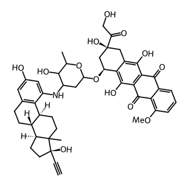 C#C[C@]1(O)CC[C@H]2[C@@H]3CCc4cc(O)cc(NC5CC(O[C@H]6C[C@](O)(C(=O)CO)Cc7c(O)c8c(c(O)c76)C(=O)c6c(OC)cccc6C8=O)OC(C)C5O)c4[C@H]3CCC21C